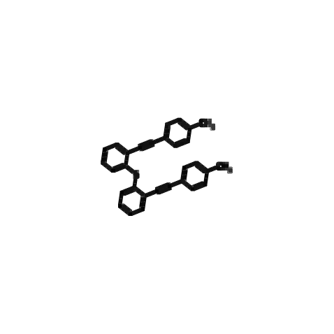 Cc1ccc(C#Cc2ccccc2Sc2ccccc2C#Cc2ccc(C)cc2)cc1